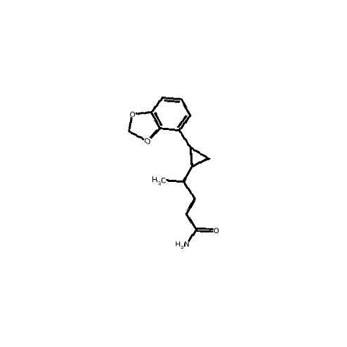 CC(CCC(N)=O)C1CC1c1cccc2c1OCO2